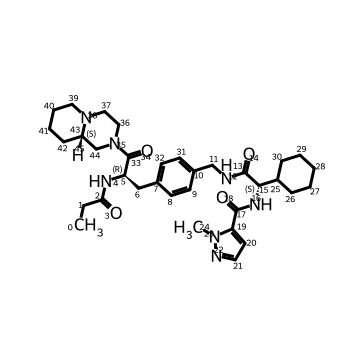 CCC(=O)N[C@H](Cc1ccc(CNC(=O)[C@@H](NC(=O)c2ccnn2C)C2CCCCC2)cc1)C(=O)N1CCN2CCCC[C@H]2C1